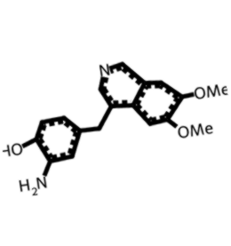 COc1cc2cncc(Cc3ccc(O)c(N)c3)c2cc1OC